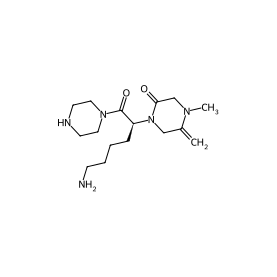 C=C1CN([C@@H](CCCCN)C(=O)N2CCNCC2)C(=O)CN1C